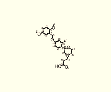 COc1ccc(OC)c(COc2ccc(C3CN(CCC(=O)O)CCO3)c(C)c2)c1